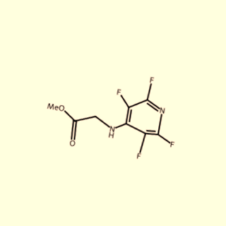 COC(=O)CNc1c(F)c(F)nc(F)c1F